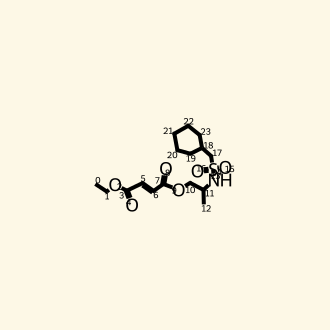 CCOC(=O)/C=C/C(=O)OCC(C)NS(=O)(=O)CC1CCCCC1